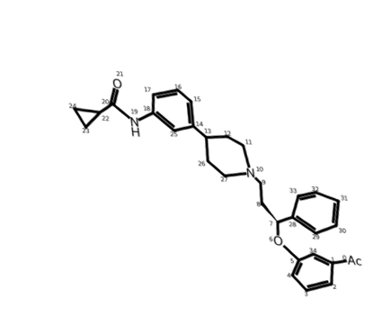 CC(=O)c1cccc(O[C@@H](CCN2CCC(c3cccc(NC(=O)C4CC4)c3)CC2)c2ccccc2)c1